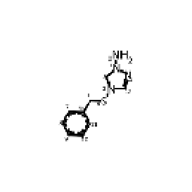 NN1CN(SCc2ccccc2)C=N1